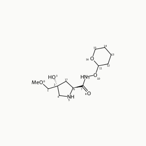 COC[C@]1(O)CN[C@H](C(=O)NOC2CCCCO2)C1